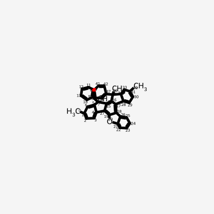 Cc1ccc2c(c1)C(C)(c1ccccc1)c1c3c(c4c(oc5ccccc54)c1-2)-c1ccc(C)cc1C3(C)c1ccccc1